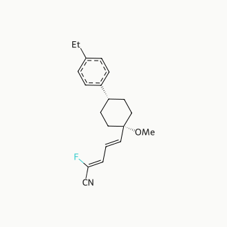 CCc1ccc([C@H]2CC[C@@](C=CC=C(F)C#N)(OC)CC2)cc1